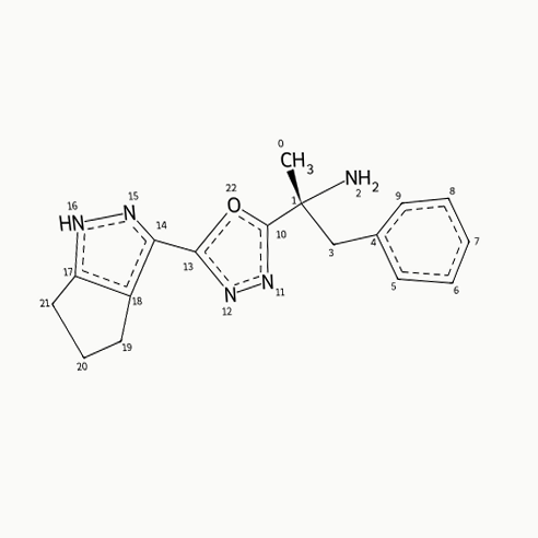 C[C@@](N)(Cc1ccccc1)c1nnc(-c2n[nH]c3c2CCC3)o1